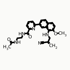 C=C(C#N)CNc1c(OC)ccc2ccc(-c3cccc(C(=O)NCCNC(C)=O)n3)cc12